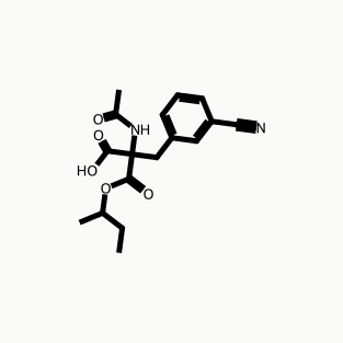 CCC(C)OC(=O)C(Cc1cccc(C#N)c1)(NC(C)=O)C(=O)O